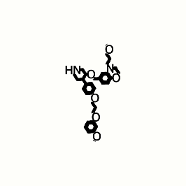 COCCCN1CCOc2ccc(COC3CNCCC3c3ccc(OCCCOc4cccc(OC)c4)cc3)cc21